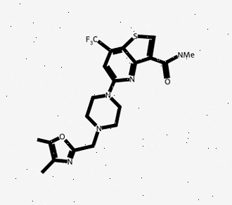 CNC(=O)c1csc2c(C(F)(F)F)cc(N3CCN(Cc4nc(C)c(C)o4)CC3)nc12